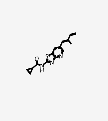 C=C/C(C)=C/c1cnc2nc(NC(=O)C3CC3)sc2c1